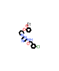 CCOc1ccccc1OC1CCCN(c2cncc(NC(=O)Cc3cccc(Cl)c3)n2)C1